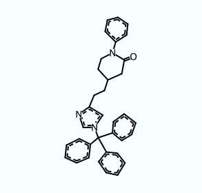 O=C1CC(CCc2cn(C(c3ccccc3)(c3ccccc3)c3ccccc3)cn2)CCN1c1ccccc1